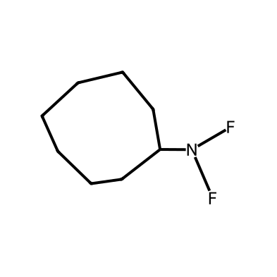 FN(F)C1CCCCCCC1